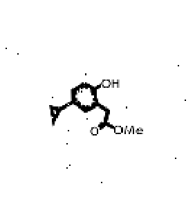 COC(=O)Cc1cc(C2CC2)ccc1O